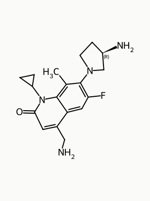 Cc1c(N2CC[C@@H](N)C2)c(F)cc2c(CN)cc(=O)n(C3CC3)c12